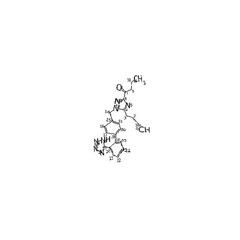 C#CCCc1nc(C(=O)CCC)nn1Cc1ccc(-c2ccccc2-c2nnn[nH]2)cc1